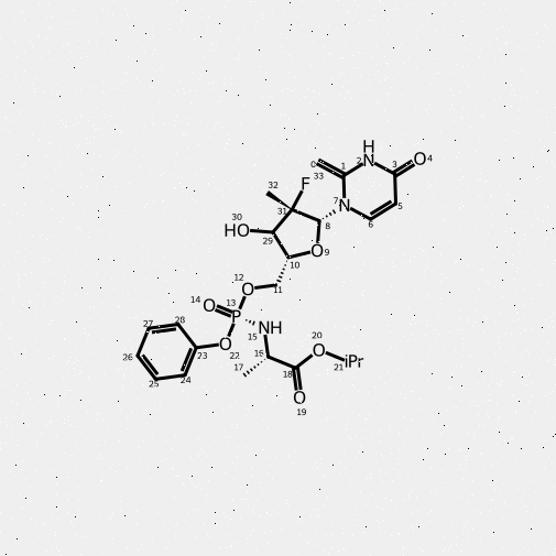 C=C1NC(=O)C=CN1[C@@H]1O[C@H](CO[P@@](=O)(N[C@@H](C)C(=O)OC(C)C)Oc2ccccc2)C(O)[C@]1(C)F